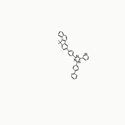 CC1(C)c2ccc(-c3ccc(-c4nc(-c5ccc(-c6ccccc6)cc5)nc(-c5cccnc5)n4)cc3)cc2-c2ccc3ccccc3c21